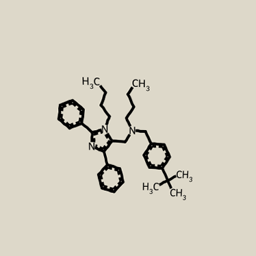 CCCCN(Cc1ccc(C(C)(C)C)cc1)Cc1c(-c2ccccc2)nc(-c2ccccc2)n1CCCC